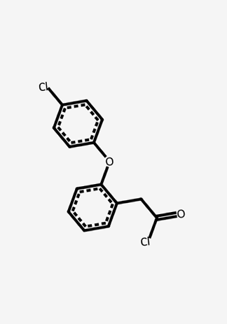 O=C(Cl)Cc1ccccc1Oc1ccc(Cl)cc1